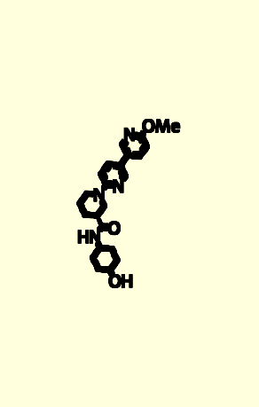 COc1ccc(-c2ccc(N3CCC[C@H](C(=O)NC4CCC(O)CC4)C3)nc2)cn1